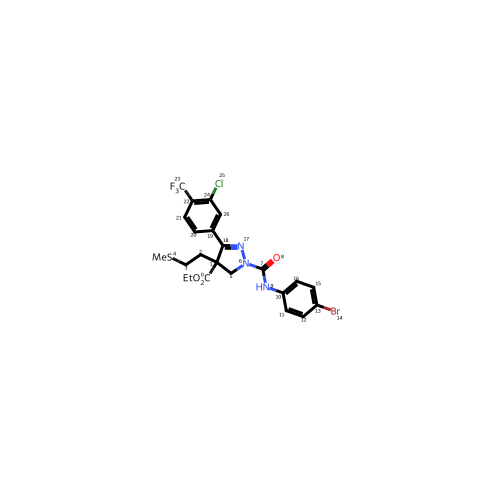 CCOC(=O)C1(CCSC)CN(C(=O)Nc2ccc(Br)cc2)N=C1c1ccc(C(F)(F)F)c(Cl)c1